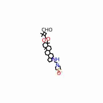 CC1(C)C(C=O)CC1C(=O)OC1CCC2(C)C3CCC4C(CCC5(NCCN6CC[S+]([O-])CC6)CCCC45)C3CCC2C1(C)C